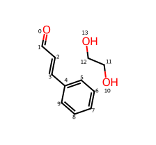 O=CC=Cc1ccccc1.OCCO